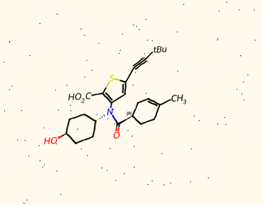 CC1=CC[C@H](C(=O)N(c2cc(C#CC(C)(C)C)sc2C(=O)O)[C@H]2CC[C@H](O)CC2)CC1